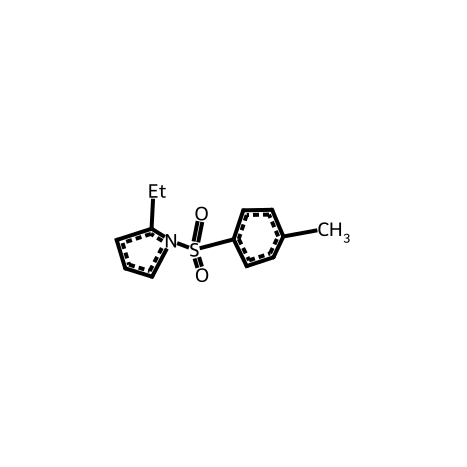 CCc1cccn1S(=O)(=O)c1ccc(C)cc1